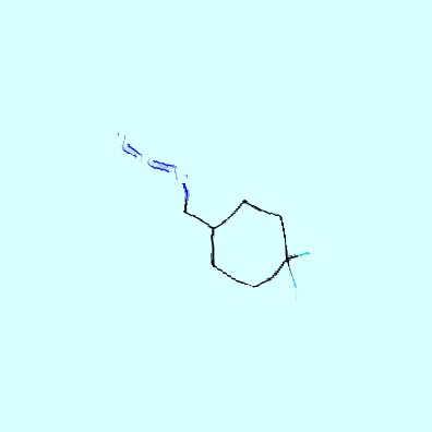 [N-]=[N+]=NCC1CCC(F)(F)CC1